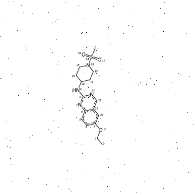 CCOc1ccc2nc(NC3CCN(S(C)(=O)=O)CC3)ncc2c1